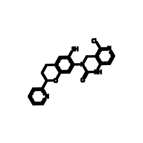 O=C1Nc2ccnc(Cl)c2CN1c1cc2c(cc1S)CCC(c1ccccn1)O2